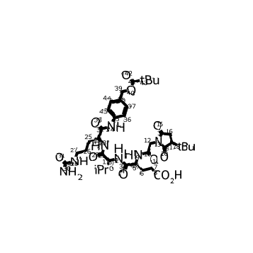 CC(C)[C@H](NC(=O)[C@H](CCC(=O)O)NC(=O)CN1C(=O)CC(C(C)(C)C)C1=O)C(=O)N[C@@H](CCCNC(N)=O)C(=O)Nc1ccc(COC(=O)C(C)(C)C)cc1